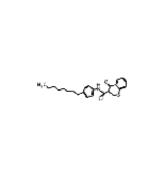 CCCCCCCCc1ccc(NC(=O)C2CSc3ccccc3C2=O)cc1